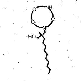 CCCCCCCCCCC(C)(CO)CN1CCOCCNCCOCCOCC1